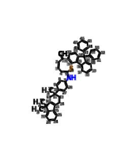 C=C1/C=C\C=C(\Nc2ccc(C3(C)C=CC4=C(C3)C(C)(C)c3ccccc34)cc2)Sc2c1ccc1c2-c2ccccc2C1(c1ccccc1)c1ccccc1